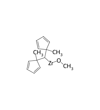 C[O][Zr][CH](C1(C)C=CC=C1)C1(C)C=CC=C1